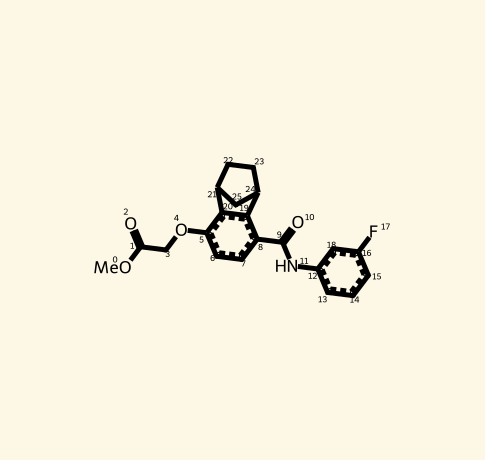 COC(=O)COc1ccc(C(=O)Nc2cccc(F)c2)c2c1C1CCC2C1